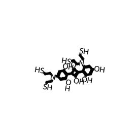 O=C1C(c2c(O)cc(O)cc2N(CCS)CCS)=C(O)C1c1c(O)cc(N(CCS)CCS)cc1O